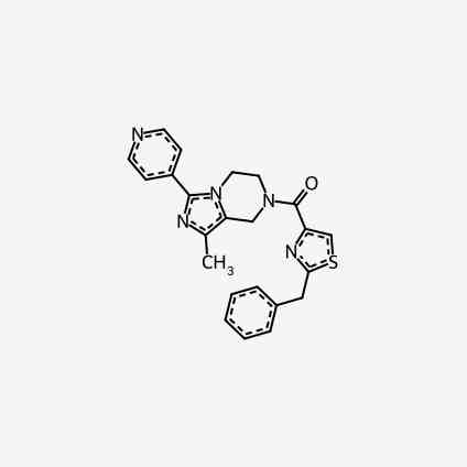 Cc1nc(-c2ccncc2)n2c1CN(C(=O)c1csc(Cc3ccccc3)n1)CC2